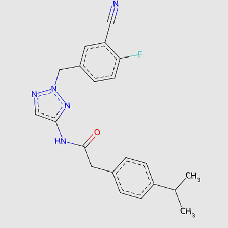 CC(C)c1ccc(CC(=O)Nc2cnn(Cc3ccc(F)c(C#N)c3)n2)cc1